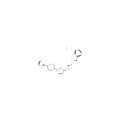 O=C(CNC(=O)c1cccc(C(F)(F)F)c1)NC1CCN(C2CCC(c3nccs3)CC2)C1